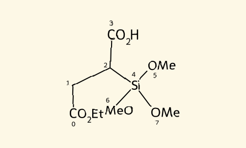 CCOC(=O)CC(C(=O)O)[Si](OC)(OC)OC